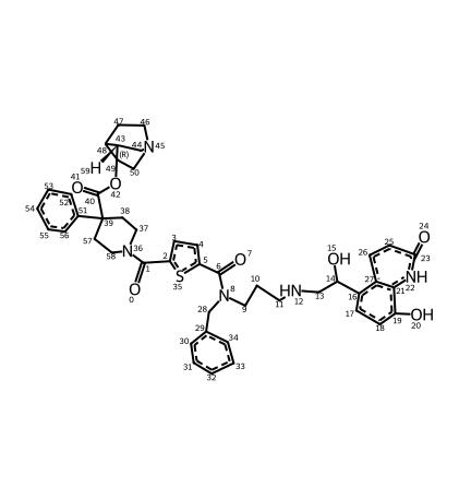 O=C(c1ccc(C(=O)N(CCCNCC(O)c2ccc(O)c3[nH]c(=O)ccc23)Cc2ccccc2)s1)N1CCC(C(=O)O[C@H]2CN3CCC2CC3)(c2ccccc2)CC1